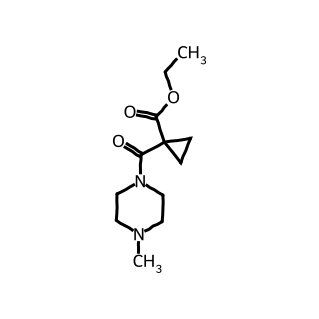 CCOC(=O)C1(C(=O)N2CCN(C)CC2)CC1